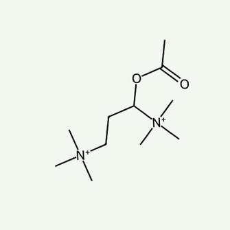 CC(=O)OC(CC[N+](C)(C)C)[N+](C)(C)C